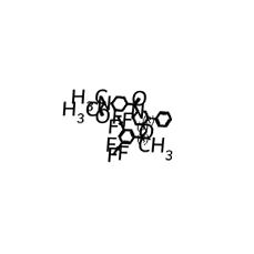 CC(=O)N(C)C1CCC(C(=O)N2CC[C@H](O[C@H](C)c3cc(C(F)(F)F)cc(C(F)(F)F)c3)[C@H](c3ccccc3)C2)CC1